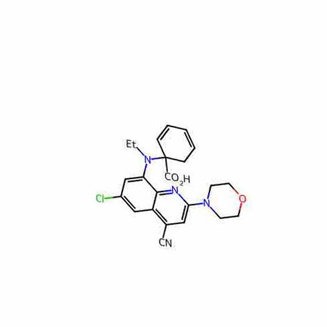 CCN(c1cc(Cl)cc2c(C#N)cc(N3CCOCC3)nc12)C1(C(=O)O)C=CC=CC1